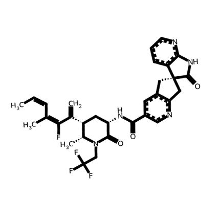 C=C(/C(F)=C(C)\C=C/C)[C@@H]1C[C@H](NC(=O)c2cnc3c(c2)C[C@@]2(C3)C(=O)Nc3ncccc32)C(=O)N(CC(F)(F)F)[C@@H]1C